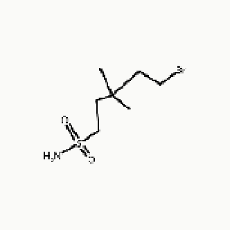 CC(C)(CCBr)CCS(N)(=O)=O